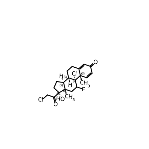 C[C@]12C=CC(=O)C=C1CC[C@H]1[C@@H]3CC[C@](O)(C(=O)CCl)[C@@]3(C)CC(F)[C@@]12Cl